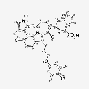 Cc1cc(OCCCc2c3n(c4c(-c5c(C)nn(C)c5C)c(Cl)ccc24)CCCN(c2cc(C(=O)O)c4cc[nH]c4c2)C3=O)cc(C)c1Cl